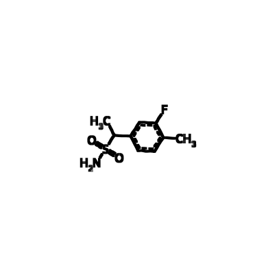 Cc1ccc(C(C)S(N)(=O)=O)cc1F